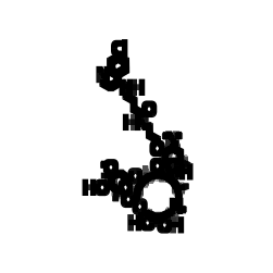 CO[C@]1(C)C[C@H](O[C@H]2[C@H](C)[C@@H](O[C@@H]3O[C@H](C)C[C@H](N(C)C)[C@H]3OCCCNC(=O)CCCNc3ccnc4cc(Cl)ccc34)[C@](C)(O)C[C@@H](C)CN(C)[C@H](C)[C@@H](O)[C@](C)(O)[C@@H](I)OC(=O)[C@@H]2C)O[C@@H](C)[C@@H]1O